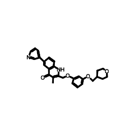 Cc1c(COc2cccc(OCC3CCOCC3)c2)[nH]c2ccc(-c3cccnc3)cc2c1=O